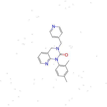 Cc1ccc(N2C(=O)N(Cc3ccncc3)Cc3cccnc32)c(C)c1